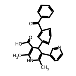 CC1=C(C(=O)O)C(c2cccc(C(=O)c3ccccc3)c2)C(c2cccnc2)=C(C)N1